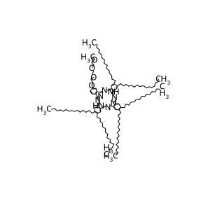 CCCCCCCCCCCCCCCCc1cc2c(cc1CCCCCCCCCCCCCCCC)-c1nc-2nc2[nH]c(nc3nc(nc4[nH]c(n1)c1cc(CCCCCCCCCCCCCCCC)c(CCCCCCCCCCCCCCCC)cc41)-c1cc(OCCOCCOCCOC)ccc1-3)c1cc(CCCCCCCCCCCCCCCC)c(CCCCCCCCCCCCCCCC)cc21